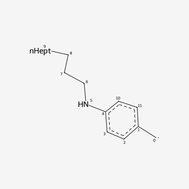 [CH2]c1ccc(NCCCCCCCCCC)cc1